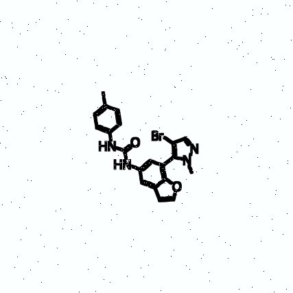 Cc1ccc(NC(=O)Nc2cc(-c3c(Br)cnn3C)c3occc3c2)cc1